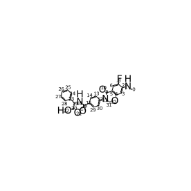 CNc1cc2c(cc1F)C(=O)N(c1ccc(C(=O)N[C@H](C(=O)O)c3ccccc3)cc1)CO2